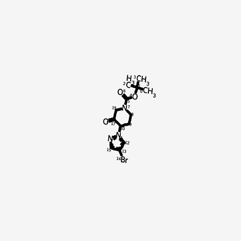 CC(C)(C)OC(=O)N1CCC(n2cc(Br)cn2)C(=O)C1